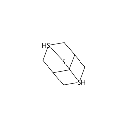 C1C2C[SH]3CC1C[SH](C2)S3